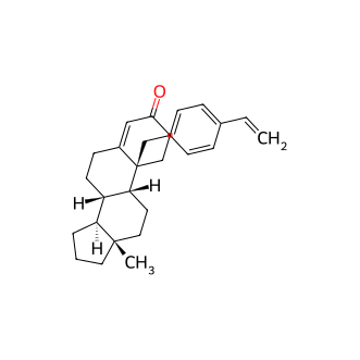 C=Cc1ccc(C[C@]23CCC(=O)C=C2CC[C@@H]2[C@H]3CC[C@]3(C)CCC[C@@H]23)cc1